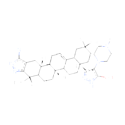 CN1CCN(c2c([C@]34CCC(C)(C)CC3C3=CCC5[C@@]6(C)Cc7c(n[nH]c7N)C(C)(C)C6CC[C@@]5(C)[C@]3(C)CC4)n[nH]c2O)CC1